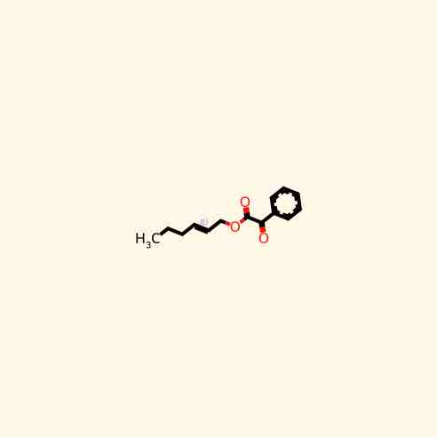 CCC/C=C/COC(=O)C(=O)c1ccccc1